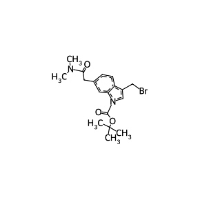 CN(C)C(=O)Cc1ccc2c(CBr)cn(C(=O)OC(C)(C)C)c2c1